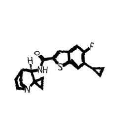 O=C(N[C@H]1C2CCN(CC2)C12CC2)c1cc2cc(F)c(C3CC3)cc2s1